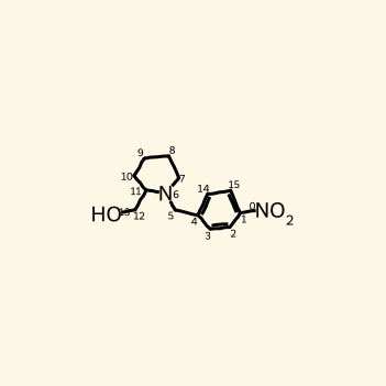 O=[N+]([O-])c1ccc(CN2CCCCC2CO)cc1